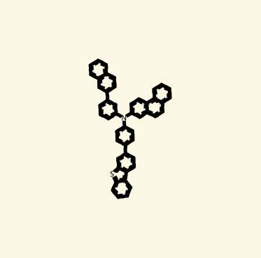 c1cc(-c2ccc3ccccc3c2)cc(N(c2ccc(-c3ccc4c(c3)sc3ccccc34)cc2)c2ccc3c(ccc4ccccc43)c2)c1